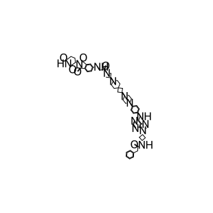 O=C1CC[C@H](N2C(=O)c3ccc(NCC(=O)N4CC(N5CCC6(CC5)CC(N5CCN(c7ccc(Nc8ncnc9c8ncn9C8CC(NC(=O)Cc9ccccc9)C8)cc7)CC5)C6)C4)cc3C2=O)C(=O)N1